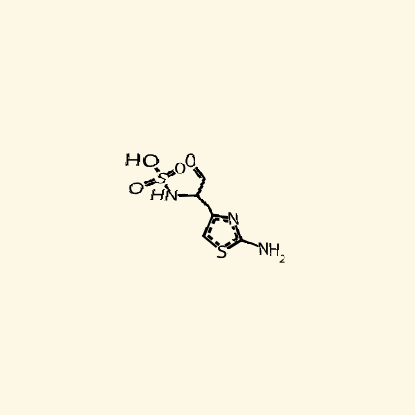 Nc1nc(C(C=O)NS(=O)(=O)O)cs1